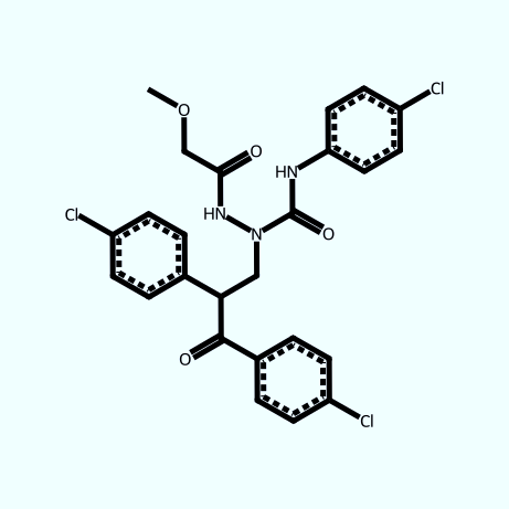 COCC(=O)NN(CC(C(=O)c1ccc(Cl)cc1)c1ccc(Cl)cc1)C(=O)Nc1ccc(Cl)cc1